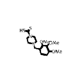 COc1ccc(CN2CCN(C(=S)S)CC2)c(OC)c1OC